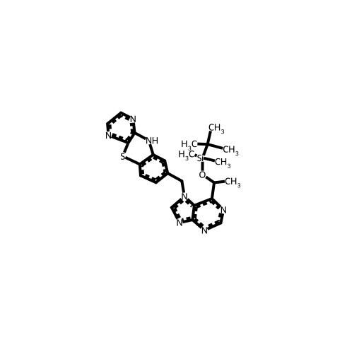 CC(O[Si](C)(C)C(C)(C)C)c1ncnc2ncn(Cc3ccc4c(c3)Nc3nccnc3S4)c12